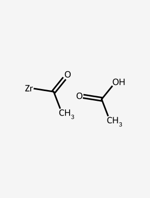 CC(=O)O.C[C](=O)[Zr]